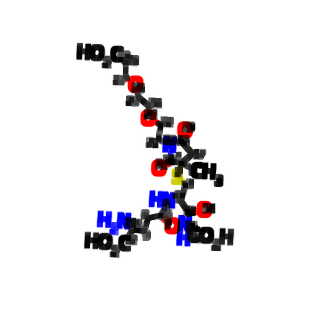 CC1(SCC(NC(=O)CCC(N)C(=O)O)C(=O)NC(=O)O)CC(=O)N(CCOCCOCCC(=O)O)C1=O